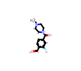 CN1CCN(C(=O)c2ccc(C=O)c(F)c2)CC1